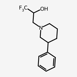 OC(CN1CCCC(c2ccccc2)C1)C(F)(F)F